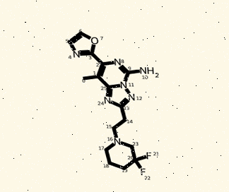 Cc1c(-c2ncco2)nc(N)n2nc(CCN3CCCC(F)(F)C3)nc12